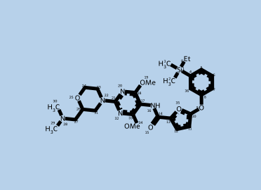 CC[Si](C)(C)c1cccc(Oc2ccc(C(=O)Nc3c(OC)nc(N4CCOC(CN(C)C)C4)nc3OC)o2)c1